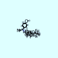 COc1ccc(/C(C#N)=N\OS(=O)(=O)C(F)(F)C(F)(F)OC(F)(F)C(F)(F)F)cc1